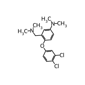 CN(C)Cc1cc(N(C)C)ccc1Oc1ccc(Cl)c(Cl)c1